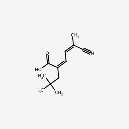 CC(C#N)=CC=C(CC(C)(C)C)C(=O)O